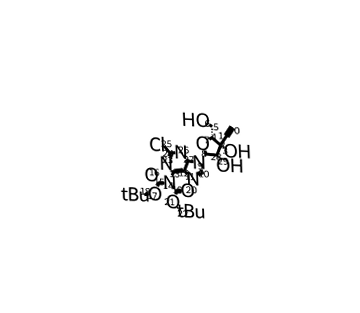 C#C[C@]1(O)[C@@H](CO)O[C@@H](n2cnc3c(N(C(=O)OC(C)(C)C)C(=O)OC(C)(C)C)nc(Cl)nc32)[C@@H]1O